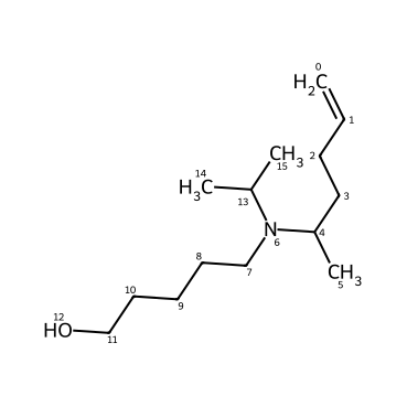 C=CCCC(C)N(CCCCCO)C(C)C